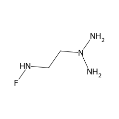 NN(N)CCNF